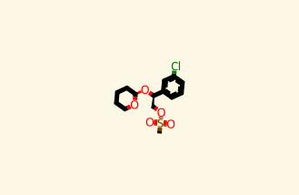 CS(=O)(=O)OC[C@@H](O[C@@H]1CCCCO1)c1cccc(Cl)c1